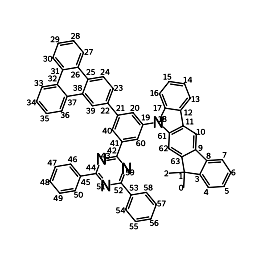 CC1(C)c2ccccc2-c2cc3c4ccccc4n(-c4cc(-c5ccc6c7ccccc7c7ccccc7c6c5)cc(-c5nc(-c6ccccc6)nc(-c6ccccc6)n5)c4)c3cc21